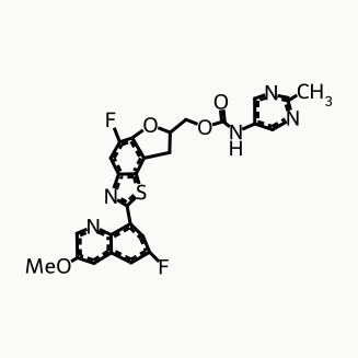 COc1cnc2c(-c3nc4cc(F)c5c(c4s3)CC(COC(=O)Nc3cnc(C)nc3)O5)cc(F)cc2c1